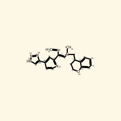 C=N/C(=C\N(C)CC1CCOc2ccccc21)c1cc(-c2c[nH]nn2)ccn1